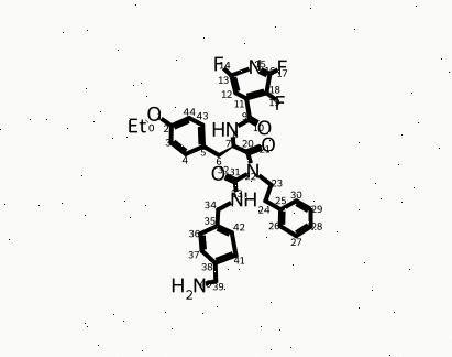 CCOc1ccc(C[C@@H](NC(=O)c2cc(F)nc(F)c2F)C(=O)N(CCc2ccccc2)C(=O)NCc2ccc(CN)cc2)cc1